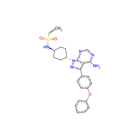 C=CS(=O)(=O)N[C@H]1CC[C@H](n2nc(-c3ccc(Oc4ccccc4)cc3)c3c(N)ncnc32)CC1